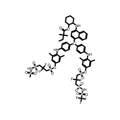 CCC(C)(C)C(=O)OC1CCCCC1Nc1ccc([C+](c2ccc(Nc3c(C)cc(OS(=O)(=O)CC(F)(F)CS(=O)(=O)NS(C)(=O)=O)cc3C)cc2)c2ccc(Nc3c(C)cc(OS(=O)(=O)CC(F)(F)CS(=O)(=O)NS(=O)(=O)C(F)(F)F)cc3C)cc2)c2ccccc12